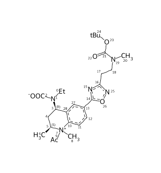 CCN(C(=O)[O-])[C@@H]1C[C@H](C)[N+](C)(C(C)=O)c2ccc(-c3nc(CCN(C)C(=O)OC(C)(C)C)no3)cc21